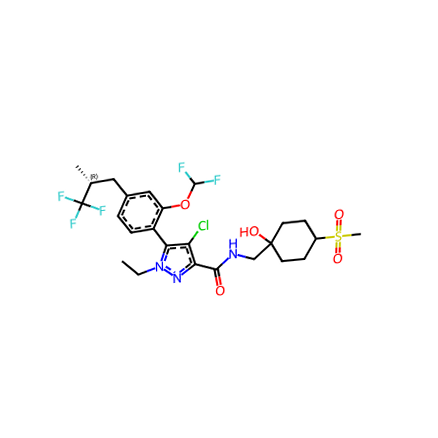 CCn1nc(C(=O)NCC2(O)CCC(S(C)(=O)=O)CC2)c(Cl)c1-c1ccc(C[C@@H](C)C(F)(F)F)cc1OC(F)F